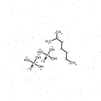 CCCCCC(C)C.OP(O)(O)=S.OP(O)(O)=S